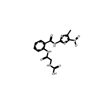 Cc1nc(NC(=O)c2ccccc2NC(=O)CNC(=O)O)sc1[N+](=O)[O-]